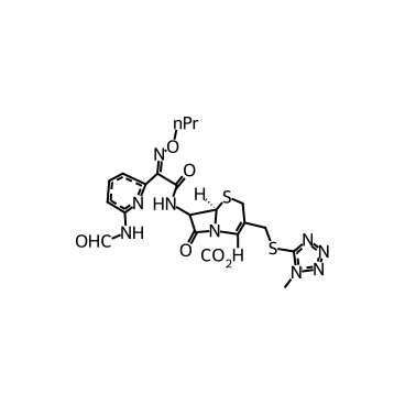 CCCO/N=C(\C(=O)NC1C(=O)N2C(C(=O)O)=C(CSc3nnnn3C)CS[C@H]12)c1cccc(NC=O)n1